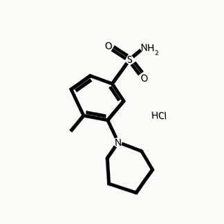 Cc1ccc(S(N)(=O)=O)cc1N1CCCCC1.Cl